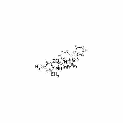 CCCC(C(=O)Nc1c(C)cc(C)cc1C)[N+]1(CC(=O)OCc2ccccc2)CCCCCC1